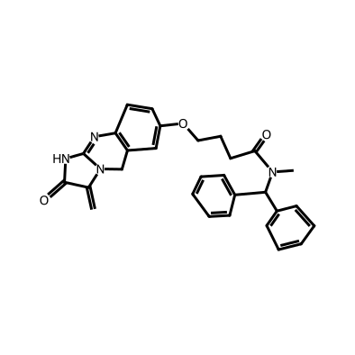 C=c1c(=O)[nH]c2n1Cc1cc(OCCCC(=O)N(C)C(c3ccccc3)c3ccccc3)ccc1N=2